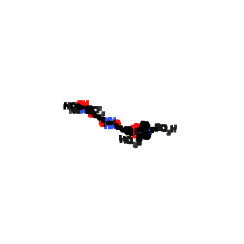 C#C/C(O)=C(\C#N)C(=O)Nc1ccc(C(F)(F)F)c(OCCCCCC(=O)NCCNC(=O)CCCc2ccc(S(=O)(=O)N(CCCS(=O)(=O)O)C(=O)c3c4ccccc4[n+](CCCS(=O)(=O)O)c4ccccc34)cc2)c1